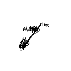 CCCCCCCCCCCCCCCCCC(=O)OC[C@H](COP(=O)([O-])OCC[N+](C)(C)C)OC(=O)CCCCCCCCCCCNC(=O)Cc1ccccc1Nc1c(Cl)cccc1Cl